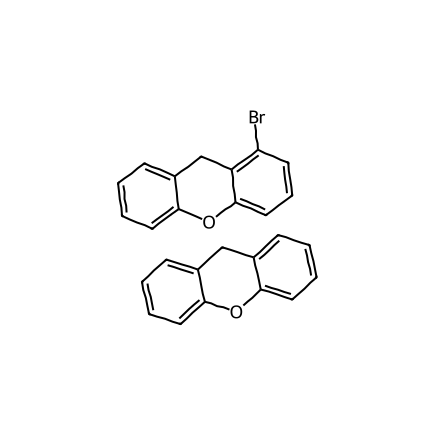 Brc1cccc2c1Cc1ccccc1O2.c1ccc2c(c1)Cc1ccccc1O2